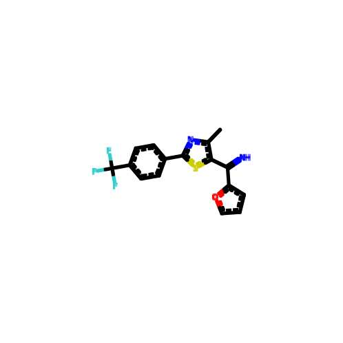 Cc1nc(-c2ccc(C(F)(F)F)cc2)sc1C(=N)c1ccco1